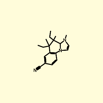 CCC1(C)c2cc(C#N)ccc2N2C=CN(C)C2C1(C)CC